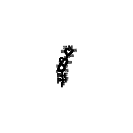 FC(F)(F)C(F)(F)c1ccc2oc(-c3ccncc3)cc2c1